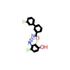 O=C(N=[N+]=Nc1c(F)ccc(O)c1F)c1cccc(-c2cccc(F)c2)c1